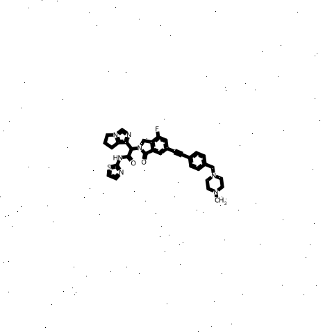 CN1CCN(Cc2ccc(C#Cc3cc(F)c4c(c3)C(=O)N(C(C(=O)Nc3nccs3)c3ncn5c3CCC5)C4)cc2)CC1